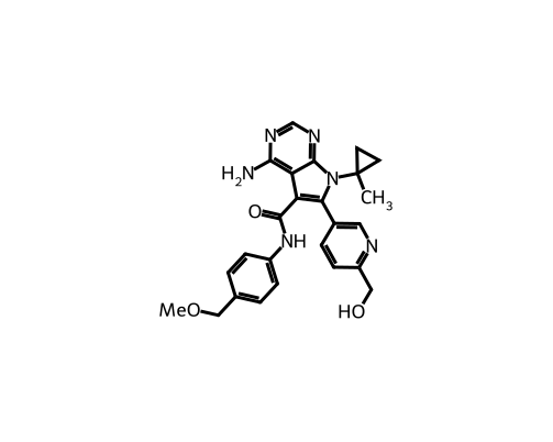 COCc1ccc(NC(=O)c2c(-c3ccc(CO)nc3)n(C3(C)CC3)c3ncnc(N)c23)cc1